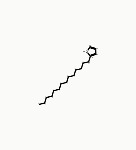 C[CH]CCCCCCCCCCCCc1ccco1